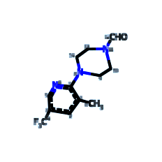 Cc1cc(C(F)(F)F)cnc1N1CCN(C=O)CC1